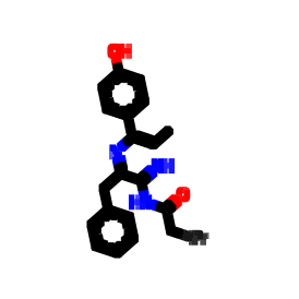 C/C=C(/N=C(/Cc1ccccc1)C(=N)NC(=O)CC(C)C)c1ccc(O)cc1